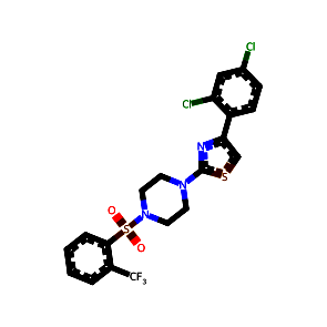 O=S(=O)(c1ccccc1C(F)(F)F)N1CCN(c2nc(-c3ccc(Cl)cc3Cl)cs2)CC1